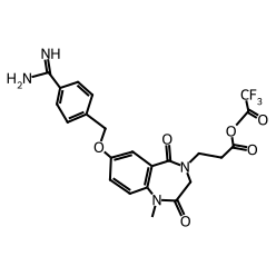 CN1C(=O)CN(CCC(=O)OC(=O)C(F)(F)F)C(=O)c2cc(OCc3ccc(C(=N)N)cc3)ccc21